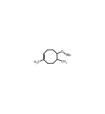 C/C1=C/CCC(OC(C)(C)C)C(C)CC1